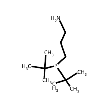 CC(C)(C)P(CCCN)C(C)(C)C